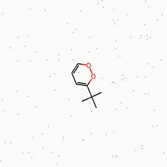 CC(C)(C)C1=CC=COO1